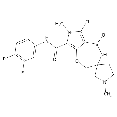 CN1CCC2(COc3c(c(Cl)n(C)c3C(=O)Nc3ccc(F)c(F)c3)[S+]([O-])N2)C1